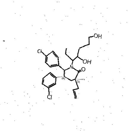 C=CC[C@@]1(C)C[C@H](c2cccc(Cl)c2)C(c2ccc(Cl)cc2)N(C(CC)C(O)CCCO)C1=O